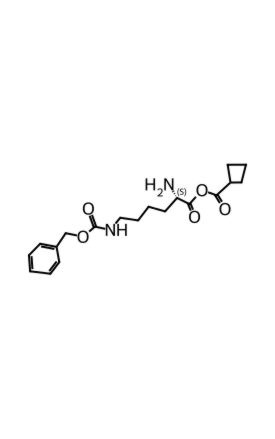 N[C@@H](CCCCNC(=O)OCc1ccccc1)C(=O)OC(=O)C1CCC1